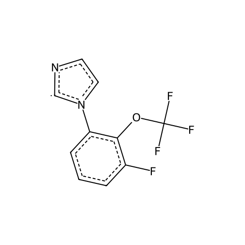 Fc1cccc(-n2[c]ncc2)c1OC(F)(F)F